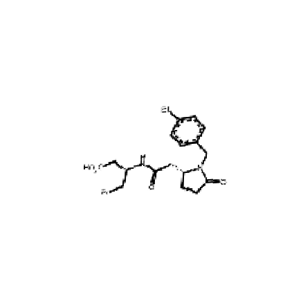 CCc1ccc(CN2C(=O)CC[C@@H]2CC(=O)N[C@H](CC(=O)O)CC(C)C)cc1